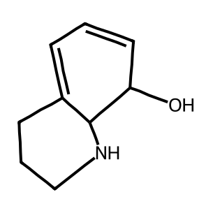 OC1C=CC=C2CCCNC21